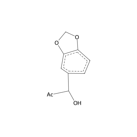 CC(=O)C(O)c1ccc2c(c1)OCO2